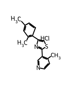 Cc1ccc(-c2csc(-c3cnccc3C)n2)c(C)c1.Cl